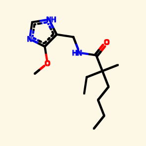 CCCCC(C)(CC)C(=O)NCc1[nH]cnc1OC